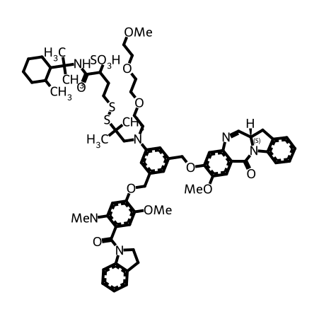 CNc1cc(OCc2cc(COc3cc4c(cc3OC)C(=O)N3c5ccccc5C[C@H]3C=N4)cc(N(CCOCCOCCOC)CC(C)(C)SSCCC(C(=O)NC(C)(C)C3CCCCC3C)S(=O)(=O)O)c2)c(OC)cc1C(=O)N1CCc2ccccc21